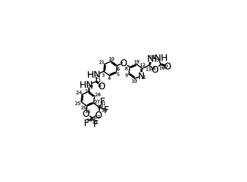 O=C(Nc1ccc(Oc2ccnc(-c3n[nH]c(=O)o3)c2)cc1)Nc1ccc2c(c1)C(F)(F)OC(F)(F)O2